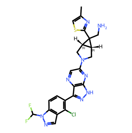 Cc1csc(C2(CN)[C@@H]3CN(c4cnc5c(-c6ccc7c(cnn7C(F)F)c6Cl)n[nH]c5n4)C[C@@H]32)n1